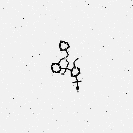 COc1ccc(C(C)(C)C#N)cc1C1(O)CN(Cc2ccccc2)Cc2ccccc21